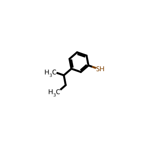 CCC(C)c1cccc(S)c1